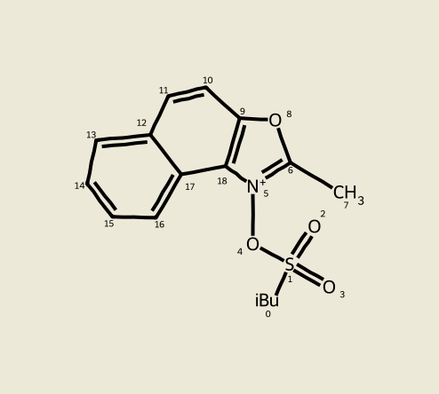 CCC(C)S(=O)(=O)O[n+]1c(C)oc2ccc3ccccc3c21